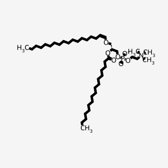 CCCCCCCCCCCCCCCC/C=C\OC[C@H](COP(=O)([O-])OCC[N+](C)(C)C)OC(=O)CCCCCCCCCCCCCCCC